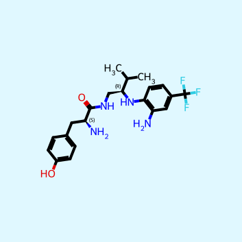 CC(C)[C@H](CNC(=O)[C@@H](N)Cc1ccc(O)cc1)Nc1ccc(C(F)(F)F)cc1N